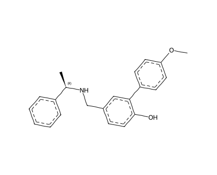 COc1ccc(-c2cc(CN[C@H](C)c3ccccc3)ccc2O)cc1